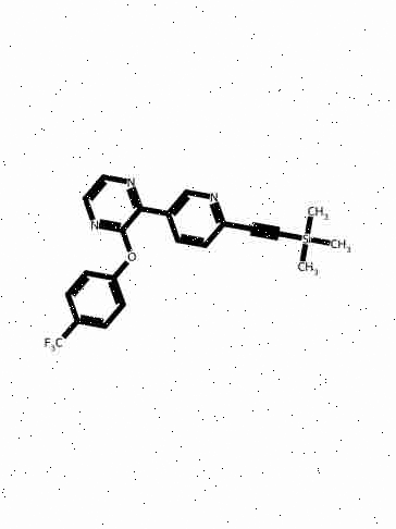 C[Si](C)(C)C#Cc1ccc(-c2nccnc2Oc2ccc(C(F)(F)F)cc2)cn1